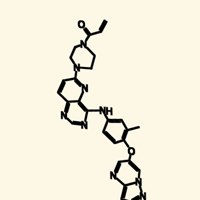 C=CC(=O)N1CCN(c2ccc3ncnc(Nc4ccc(Oc5cnc6ccnn6c5)c(C)c4)c3n2)CC1